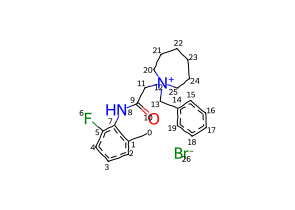 Cc1cccc(F)c1NC(=O)C[N+]1(Cc2ccccc2)CCCCCC1.[Br-]